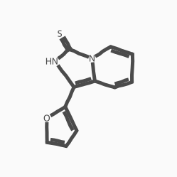 S=c1[nH]c(-c2ccco2)c2ccccn12